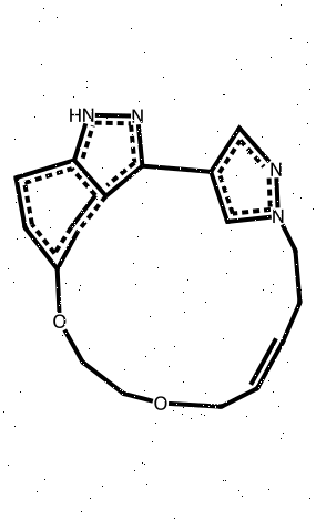 C1=CCOCCOc2ccc3[nH]nc(c3c2)-c2cnn(c2)CC1